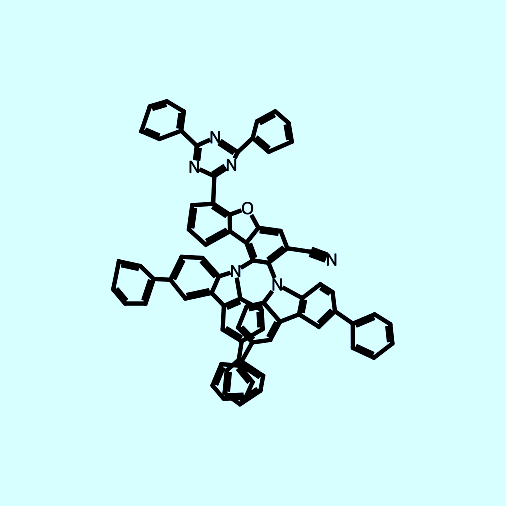 N#Cc1cc2oc3c(-c4nc(-c5ccccc5)nc(-c5ccccc5)n4)cccc3c2c(-n2c3ccc(-c4ccccc4)cc3c3cc(-c4ccccc4)ccc32)c1-n1c2ccc(-c3ccccc3)cc2c2cc(-c3ccccc3)ccc21